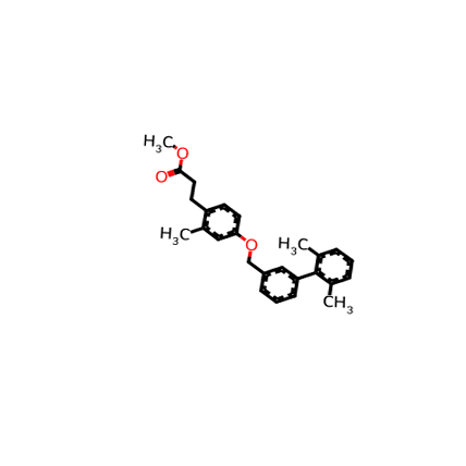 COC(=O)CCc1ccc(OCc2cccc(-c3c(C)cccc3C)c2)cc1C